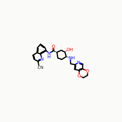 N#Cc1ccc2cccc(NC(=O)[C@@H]3CC[C@@H](NCc4cc5c(cn4)OCCO5)[C@@H](O)C3)c2n1